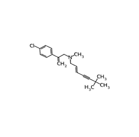 C=C(CN(C)C/C=C/C#CC(C)(C)C)c1ccc(Cl)cc1